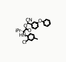 Cc1ccc(N[C@@H](C(=O)OC(C#N)c2cccc(Oc3ccccc3)c2)C(C)C)c(Cl)c1